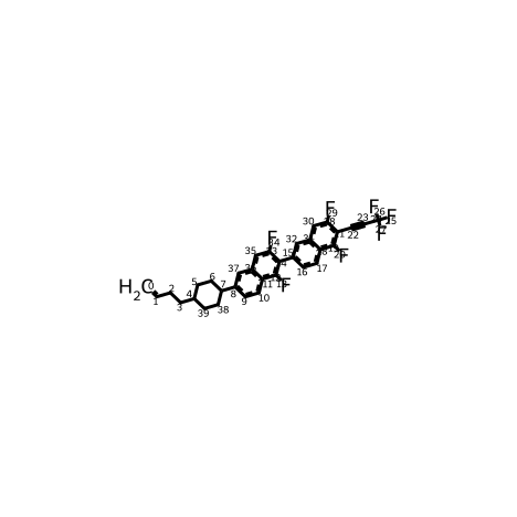 C=CCCC1CCC(c2ccc3c(F)c(-c4ccc5c(F)c(C#CC(F)(F)F)c(F)cc5c4)c(F)cc3c2)CC1